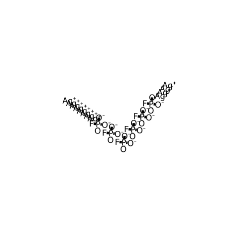 O=P([O-])([O-])F.O=P([O-])([O-])F.O=P([O-])([O-])F.O=P([O-])([O-])F.O=P([O-])([O-])F.O=P([O-])([O-])F.[Ag+].[Ag+].[Ag+].[Ag+].[Ag+].[Ag+].[Ag+].[Ag+].[Ag+].[Ag+].[Ag+].[Ag+]